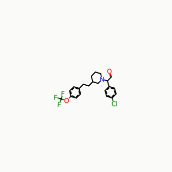 O=CC(c1ccc(Cl)cc1)N1CCCC(CCc2ccc(OC(F)(F)F)cc2)C1